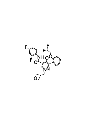 O=C(Nc1ccc(F)cc1F)c1cn(CC2COC2)nc(-c2ccccc2OCC(F)F)c1=O